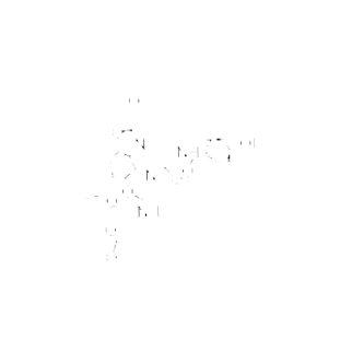 CCOC1OC(=O)C[C@@H]1NC(=O)CN1C(=O)[C@@H](NC(=O)c2cc(C)c(O)c(C)c2)CN(C(=O)CO)c2ccccc21